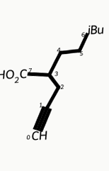 C#CCC(CCC(C)CC)C(=O)O